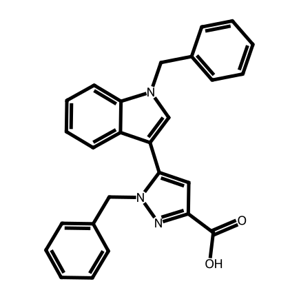 O=C(O)c1cc(-c2cn(Cc3ccccc3)c3ccccc23)n(Cc2ccccc2)n1